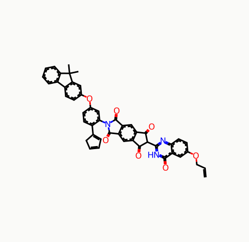 C=CCOc1ccc2nc(C3C(=O)c4cc5c(cc4C3=O)C(=O)N(c3cc(Oc4ccc6c(c4)C(C)(C)c4ccccc4-6)ccc3C3=CC=CC3)C5=O)[nH]c(=O)c2c1